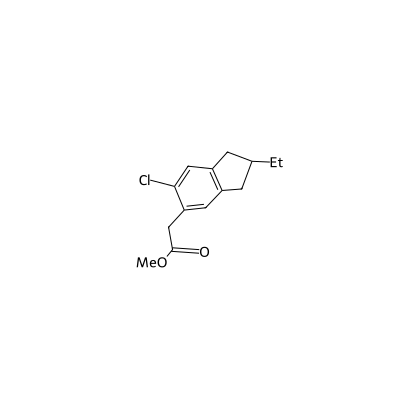 CCC1Cc2cc(Cl)c(CC(=O)OC)cc2C1